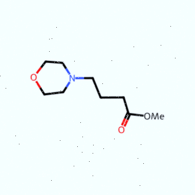 [CH2]OC(=O)CCCN1CCOCC1